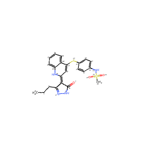 CCCC1=NNC(=O)C1=C1C=C(Sc2ccc(NS(C)(=O)=O)cc2)c2ccccc2N1